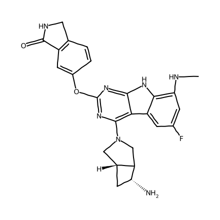 CNc1cc(F)cc2c1[nH]c1nc(Oc3ccc4c(c3)C(=O)NC4)nc(N3CC4[C@H](C[C@H]4N)C3)c12